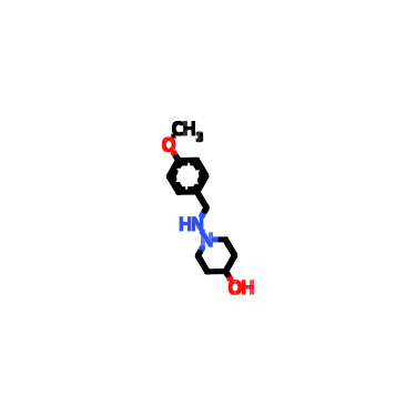 COc1ccc(CNN2CCC(O)CC2)cc1